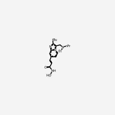 CCCN(CC)Cc1c(C(C)(C)C)nc2cc(/C=C/C(=O)NO)ccn12